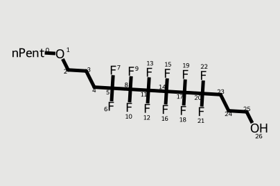 CCCCCOCCCC(F)(F)C(F)(F)C(F)(F)C(F)(F)C(F)(F)C(F)(F)CCCO